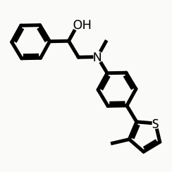 Cc1ccsc1-c1ccc(N(C)CC(O)c2ccccc2)cc1